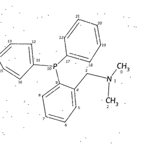 CN(C)Cc1ccccc1P(c1ccccc1)c1ccccc1